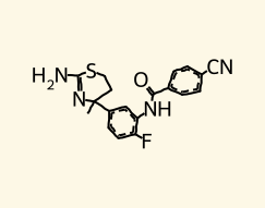 CC1(c2ccc(F)c(NC(=O)c3ccc(C#N)cc3)c2)CCSC(N)=N1